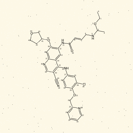 CCOC(C)NC/C=C/C(=O)Nc1cc2c(Nc3ccc(OCc4ccccn4)c(Cl)c3)c(C#N)cnc2cc1OC1CCOC1